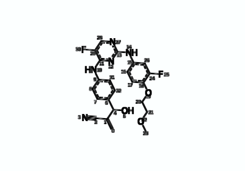 C=C(C#N)C(O)c1ccc(Nc2nc(Nc3ccc(OCCOC)c(F)c3)ncc2F)cc1